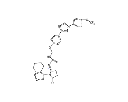 O=C(/N=C1\SCC(=O)N1c1cccc2c1CCCC2)NCOc1ccc(-c2ncn(-c3ccc(OC(F)(F)F)cc3)n2)cc1